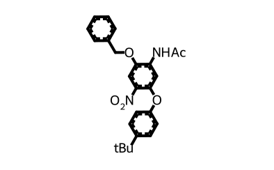 CC(=O)Nc1cc(Oc2ccc(C(C)(C)C)cc2)c([N+](=O)[O-])cc1OCc1ccccc1